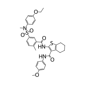 CCOc1ccc(N(C)S(=O)(=O)c2ccc(C)c(C(=O)Nc3sc4c(c3C(=O)Nc3ccc(OC)cc3)CCCC4)c2)cc1